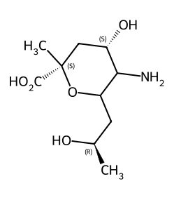 C[C@@H](O)CC1O[C@](C)(C(=O)O)C[C@H](O)C1N